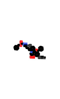 COc1ccc(C(OCc2ccccc2)(c2ccc(OC)cc2)C2CC(O)CN2CCCCCCNC(=O)OCc2ccccc2)cc1